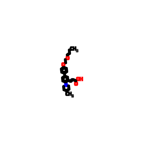 CCCCOCCOc1ccc(-c2ccc(N3CCC(C)CC3)c(/C=C/C(=O)O)c2)cc1